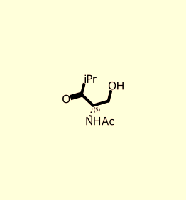 CC(=O)N[C@@H](CO)C(=O)C(C)C